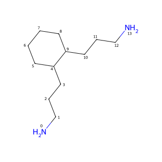 NCCCC1CCCCC1CCCN